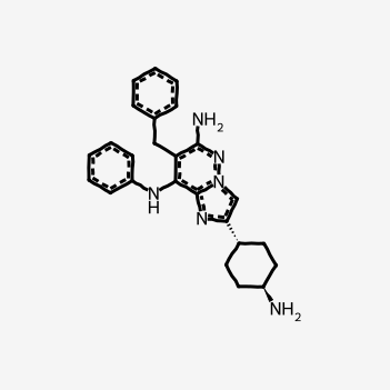 Nc1nn2cc([C@H]3CC[C@H](N)CC3)nc2c(Nc2ccccc2)c1Cc1ccccc1